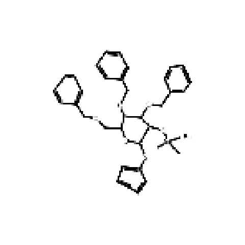 CC(C)(C)[Si](C)(C)OC1C(Sc2ccccc2)OC(COCc2ccccc2)C(OCc2ccccc2)C1OCc1ccccc1